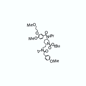 COCCCOc1cc(C(=O)N(C(C)C)[C@@H]2CC[C@H](CCN(C(=O)Cc3ccc(OC)cc3)C3CC3)N(C(=O)OC(C)(C)C)C2)ccc1OC